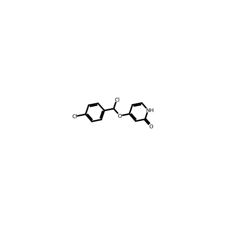 O=c1cc(OC(Cl)c2ccc(Cl)cc2)cc[nH]1